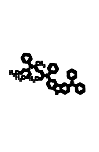 C=C/C=C(\C=C/C)N(/C(C)=C/C=C(\C=C)N(c1ccccc1)c1ccc2sc3ccc(N(c4ccccc4)c4ccccc4)cc3c2c1)c1ccccc1